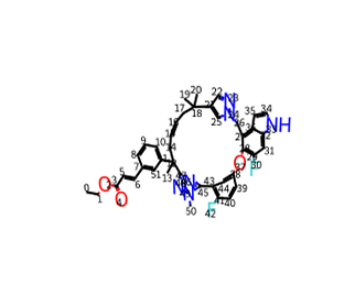 CCOC(=O)/C=C/c1cccc(C2(C)C/C=C\CC(C)(C)c3cnn(c3)Cc3c(c(F)cc4[nH]ccc34)Oc3ccc(F)c(c3)-c3nc2nn3C)c1